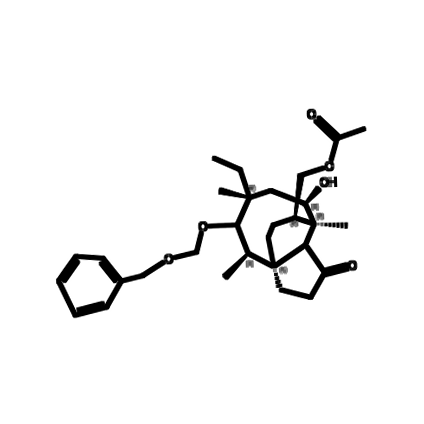 CC[C@]1(C)C[C@@H](O)[C@@]2(C)C3C(=O)CC[C@@]3(CC[C@H]2COC(C)=O)[C@@H](C)C1OCOCc1ccccc1